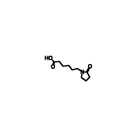 O=C(O)CCCCCN1CCCC1=O